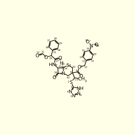 CC(Sc1nnn[nH]1)C1(C(=O)OCc2ccc([N+](=O)[O-])cc2)CS[C@@H]2C(NC(=O)C(OC=O)c3ccccc3)C(=O)N2C1